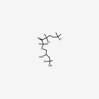 CCC(C)(C)CCC(C)(CC)C(=O)C(C)(CC)OCC(O)CC(C)(O)CC